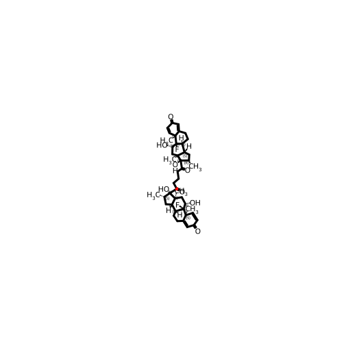 C[C@@H]1C[C@H]2[C@@H]3CCC4=CC(=O)C=C[C@]4(C)[C@@]3(F)[C@@H](O)C[C@]2(C)[C@@]1(O)C(=O)CCCC(=O)[C@@]1(O)[C@@H](C)C[C@H]2[C@@H]3CCC4=CC(=O)C=C[C@]4(C)[C@@]3(F)[C@@H](O)C[C@@]21C